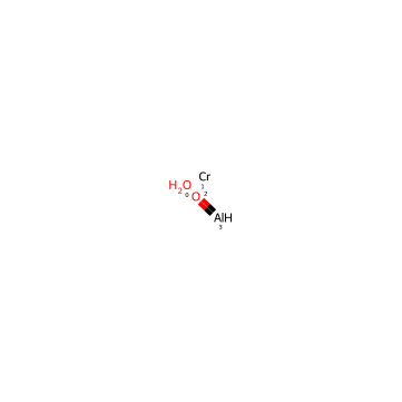 O.[Cr].[O]=[AlH]